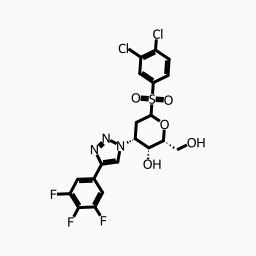 O=S(=O)(c1ccc(Cl)c(Cl)c1)C1C[C@@H](n2cc(-c3cc(F)c(F)c(F)c3)nn2)[C@@H](O)[C@@H](CO)O1